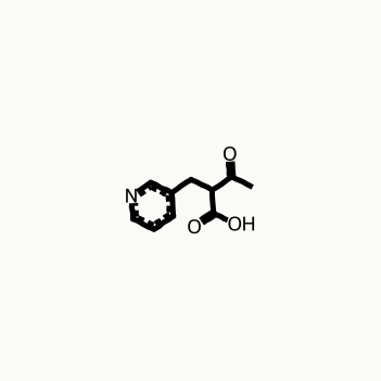 CC(=O)C(Cc1cccnc1)C(=O)O